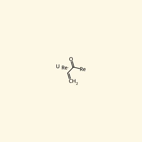 C=C[C](=O)[Re].[Re].[U]